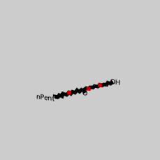 CCCCCC=CCC=CCCCCCCCCC(=O)CCCCCCCCCCCCO